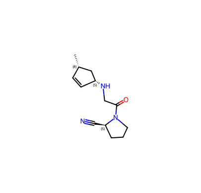 C[C@H]1C=C[C@@H](NCC(=O)N2CCC[C@H]2C#N)C1